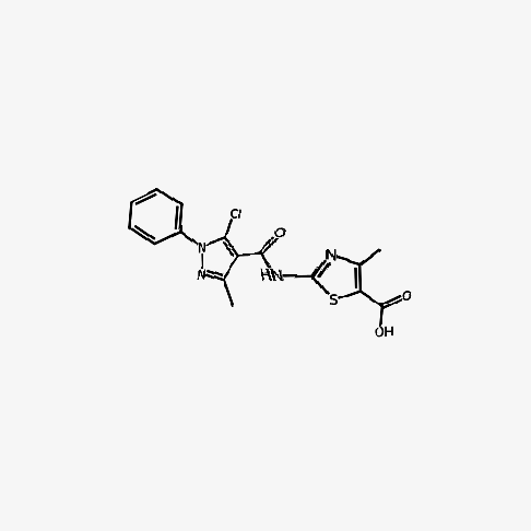 Cc1nc(NC(=O)c2c(C)nn(-c3ccccc3)c2Cl)sc1C(=O)O